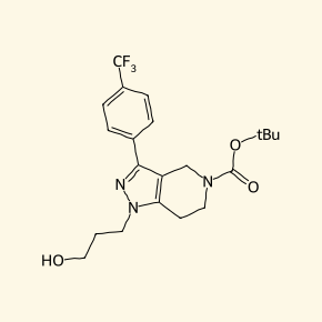 CC(C)(C)OC(=O)N1CCc2c(c(-c3ccc(C(F)(F)F)cc3)nn2CCCO)C1